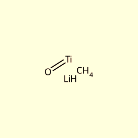 C.[LiH].[O]=[Ti]